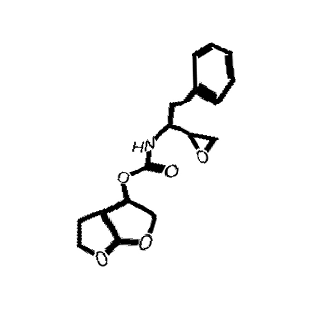 O=C(NC(Cc1ccccc1)C1CO1)OC1COC2OCCC12